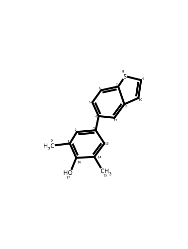 Cc1cc(-c2ccc3sccc3c2)cc(C)c1O